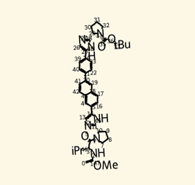 C=C(N[C@H](C(=O)N1CCC[C@H]1c1ncc(-c2ccc3cc(-c4ccc(-c5cnc([C@@H]6CCCN6C(=O)OC(C)(C)C)[nH]5)cc4)ccc3c2)[nH]1)C(C)C)OC